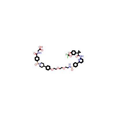 O=C(O)CNC(=O)c1ccc([S+]([O-])N2CCC(c3ccc(OCCOCCOCCN[S+]([O-])c4ccc(-c5cccc(NC(=O)C6(c7ccc8c(c7)OC(F)(F)O8)CC6)n5)cc4)cc3)CC2)cc1